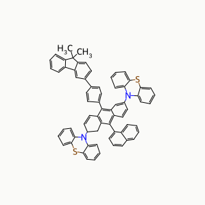 CC1(C)c2ccccc2-c2cc(-c3ccc(-c4c5c(c(-c6cccc7ccccc67)c6ccc(N7c8ccccc8Sc8ccccc87)cc46)CC(N4c6ccccc6Sc6ccccc64)C=C5)cc3)ccc21